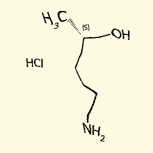 C[C@H](O)CCN.Cl